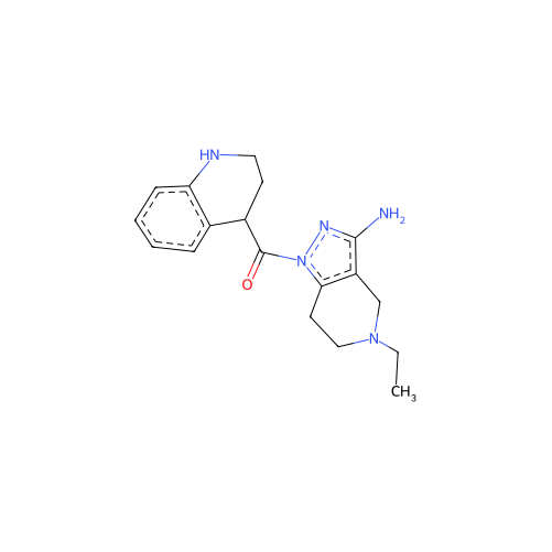 CCN1CCc2c(c(N)nn2C(=O)C2CCNc3ccccc32)C1